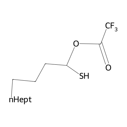 CCCCCCCCCCC(S)OC(=O)C(F)(F)F